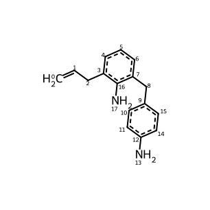 C=CCc1cccc(Cc2ccc(N)cc2)c1N